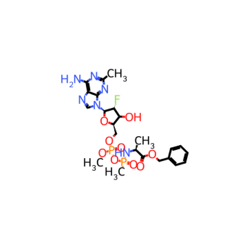 COP(=O)(OC[C@H]1O[C@@H](n2cnc3c(N)nc(C)nc32)[C@H](F)C1O)OP(C)(=O)N[C@@H](C)C(=O)OCc1ccccc1